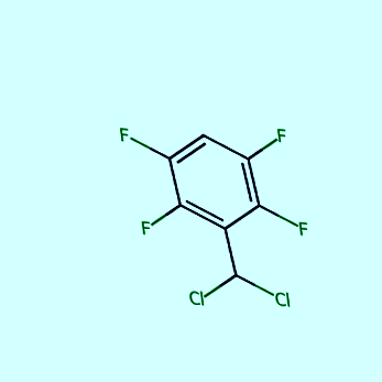 Fc1cc(F)c(F)c(C(Cl)Cl)c1F